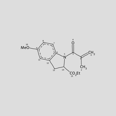 C=C(C)C(=O)N1c2ccc(OC)cc2CC1C(=O)OCC